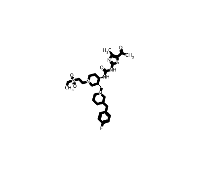 CCS(=O)(=O)CCN1CC[C@@H](NC(=O)Nc2nc(C)c(C(C)=O)s2)[C@H](CN2CCCC(Cc3ccc(F)cc3)C2)C1